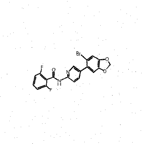 O=C(Nc1ccc(-c2cc3c(cc2Br)OCO3)cn1)c1c(F)cccc1F